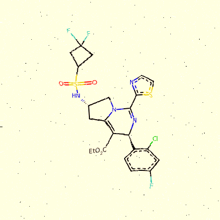 CCOC(=O)C1=C2C[C@H](NS(=O)(=O)C3CC(F)(F)C3)CN2C(c2nccs2)=N[C@H]1c1ccc(F)cc1Cl